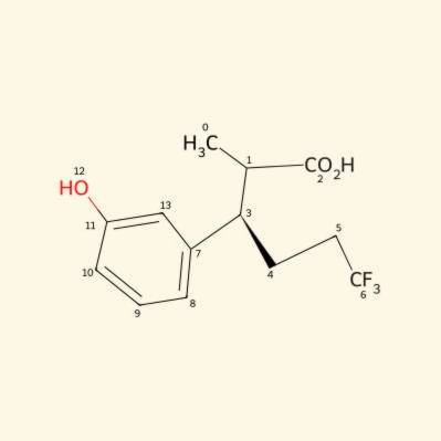 CC(C(=O)O)[C@@H](CCC(F)(F)F)c1cccc(O)c1